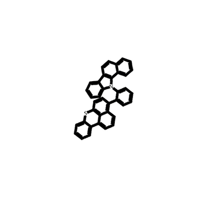 c1ccc2c(c1)Sc1ccc(-c3ccccc3-n3c4ccccc4c4ccc5ccccc5c43)c3cccc-2c13